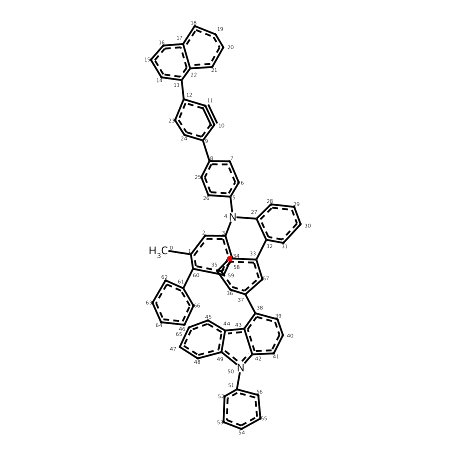 Cc1cc(N(c2ccc(-c3c#cc(-c4cccc5ccccc45)cc3)cc2)c2ccccc2-c2cccc(-c3cccc4c3c3ccccc3n4-c3ccccc3)c2)ccc1-c1ccccc1